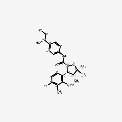 COc1c([C@@H]2[C@@H](C(=O)Nc3ccc([C@H](O)CO)nc3)O[C@](C)(C(F)(F)F)[C@@H]2C)ccc(F)c1C